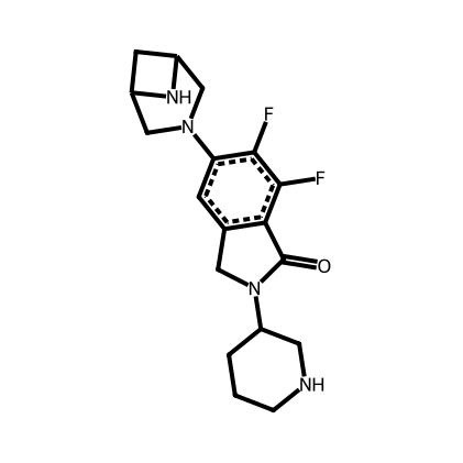 O=C1c2c(cc(N3CC4CC(C3)N4)c(F)c2F)CN1C1CCCNC1